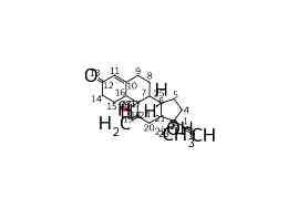 C#C[C@@]1(O)CC[C@H]2[C@@H]3CCC4=CC(=O)CC[C@@H]4[C@H]3C(=C)C[C@@]21CC